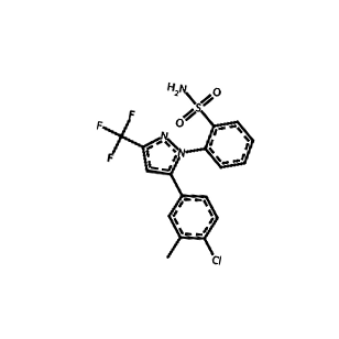 Cc1cc(-c2cc(C(F)(F)F)nn2-c2ccccc2S(N)(=O)=O)ccc1Cl